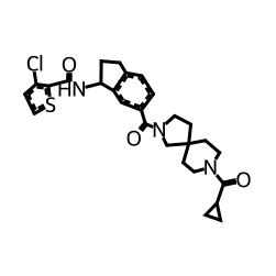 O=C(NC1CCc2ccc(C(=O)N3CCC4(CCN(C(=O)C5CC5)CC4)C3)cc21)c1sccc1Cl